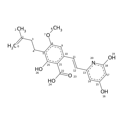 C=C(C)CCc1c(OC)cc(C=Cc2cc(O)cc(O)n2)c(C(=O)O)c1O